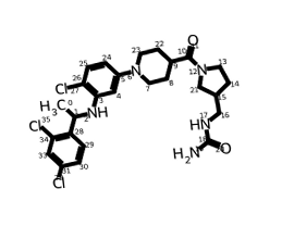 CC(Nc1cc(N2CCC(C(=O)N3CCC(CNC(N)=O)C3)CC2)ccc1Cl)c1ccc(Cl)cc1Cl